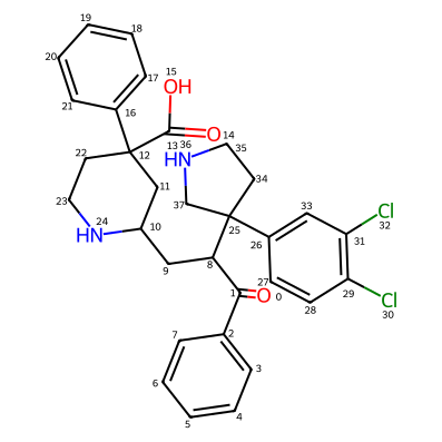 O=C(c1ccccc1)C(CC1CC(C(=O)O)(c2ccccc2)CCN1)C1(c2ccc(Cl)c(Cl)c2)CCNC1